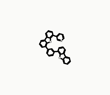 c1cncc(-c2cccc3c2oc2c(-c4cccc(-c5cccc6c5oc5ccccc56)c4)cccc23)c1